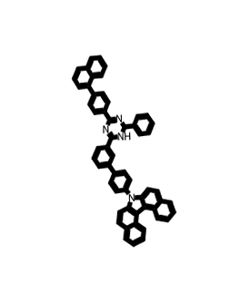 c1ccc(C2N=C(c3ccc(-c4cccc5ccccc45)cc3)N=C(c3cccc(-c4ccc(-n5c6ccc7ccccc7c6c6c7ccccc7ccc65)cc4)c3)N2)cc1